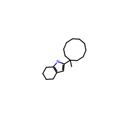 CC1(C2=CC3=C(CCCC3)[N]2)CCCCCCCCC1